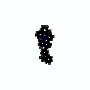 CC1(C)c2ccccc2-c2cc(-c3ccc4c5c(cccc35)N(c3ccccc3)c3c-4ccc4sc5ccccc5c34)ccc21